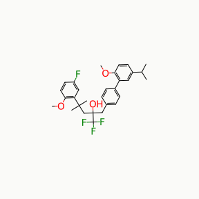 COc1ccc(C(C)C)cc1-c1ccc(CC(O)(CC(C)(C)c2cc(F)ccc2OC)C(F)(F)F)cc1